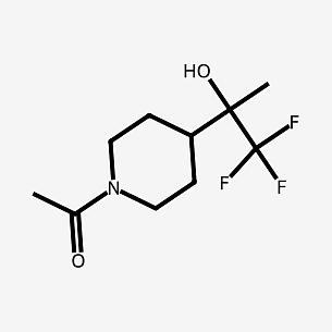 CC(=O)N1CCC(C(C)(O)C(F)(F)F)CC1